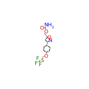 NC(=O)OCc1cc(-c2ccc(OCSC(F)(F)F)cc2)no1